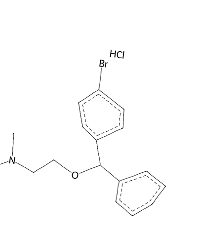 CN(C)CCOC(c1ccccc1)c1ccc(Br)cc1.Cl